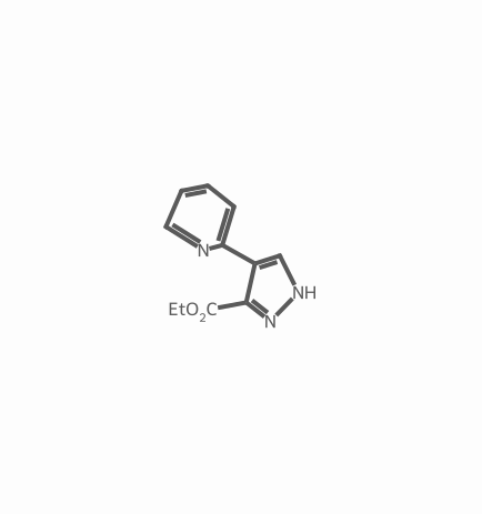 CCOC(=O)c1n[nH]cc1-c1ccccn1